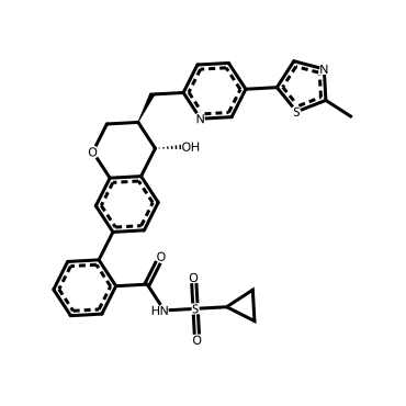 Cc1ncc(-c2ccc(C[C@@H]3COc4cc(-c5ccccc5C(=O)NS(=O)(=O)C5CC5)ccc4[C@H]3O)nc2)s1